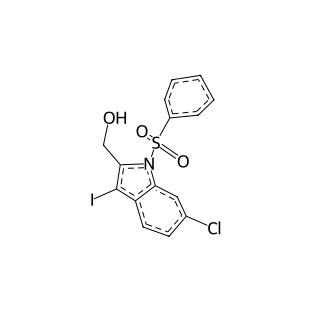 O=S(=O)(c1ccccc1)n1c(CO)c(I)c2ccc(Cl)cc21